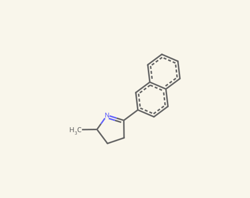 CC1CCC(c2ccc3ccccc3c2)=N1